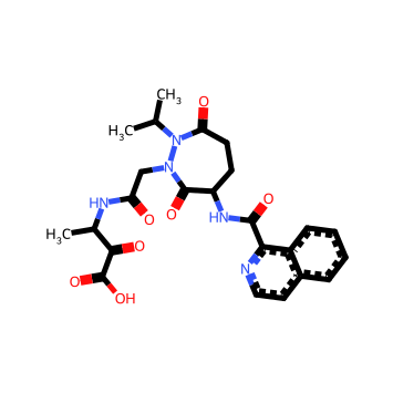 CC(NC(=O)CN1C(=O)C(NC(=O)c2nccc3ccccc23)CCC(=O)N1C(C)C)C(=O)C(=O)O